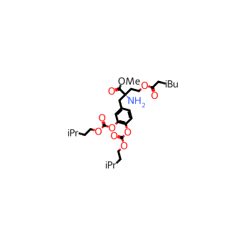 CCC(C)CC(=O)OCC[C@@](N)(Cc1ccc(OC(=O)OCCC(C)C)c(OC(=O)OCCC(C)C)c1)C(=O)OC